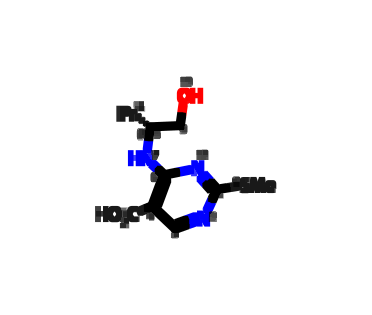 CSc1ncc(C(=O)O)c(N[C@@H](CO)C(C)C)n1